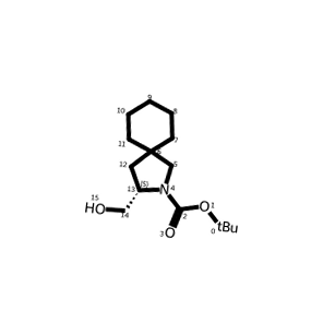 CC(C)(C)OC(=O)N1CC2(CCCCC2)C[C@H]1CO